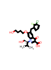 CC(C)[C@@H](CO)n1cc(C(=O)O)c(=O)c2cc(Cc3cccc(Cl)c3F)c(OCCCCO)cc21